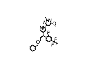 COc1cc(-n2cc(C(=CCOCc3ccccc3)c3ccc(C(F)(F)F)cc3F)cn2)nc(C)n1